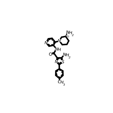 Cc1ccc(-c2nc(C(=O)Nc3cnccc3N3CCC[C@H](N)C3)c(N)s2)cc1